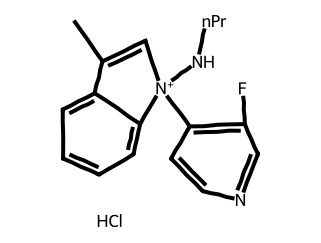 CCCN[N+]1(c2ccncc2F)C=C(C)c2ccccc21.Cl